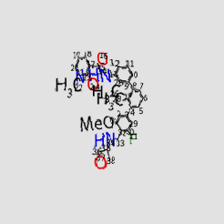 COc1cc(-c2cccc(-c3cccc(NC(=O)c4cccn(C)c4=O)c3C)c2C)cc(F)c1CNC1COC1